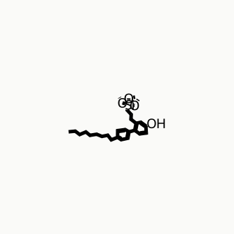 CCCCCCCCCc1ccc(-c2ccc(O)cc2CCC[Si](OC)(OC)OC)cc1